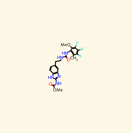 COC(=O)Nc1nc2cc(CCNC(=O)Nc3c(C)c(F)c(F)c(F)c3OC)ccc2[nH]1